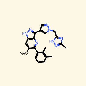 COc1cc2[nH]nc(-c3cnn(Cc4nc(C)n[nH]4)c3)c2nc1-c1cccc(C)c1C